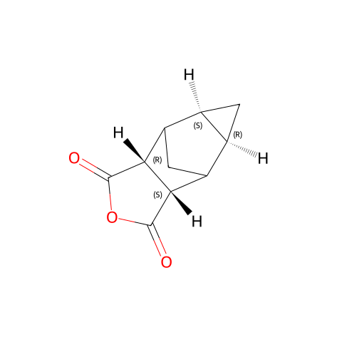 O=C1OC(=O)[C@H]2C3CC([C@H]4C[C@@H]34)[C@@H]12